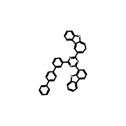 C1=C(c2nc(-c3cccc(-c4ccc(-c5ccccc5)cc4)c3)nc(-c3cccc4c3oc3ccccc34)n2)C=c2c(oc3ccccc23)=CC1